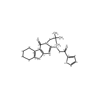 CC(C)(C)Cn1c(SCC(=O)c2cccs2)nc2sc3c(c2c1=O)CCCC3